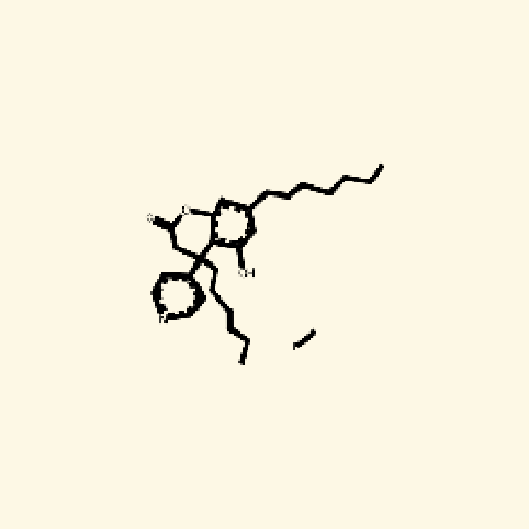 CCCCCCCc1cc(O)c2c(c1)OC(=O)CC2(CCCCCC)c1ccncc1.CI